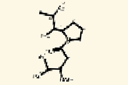 CCC(C)C(C(C)C)C(CC(=O)N1CCCC1C(CC)C(C)C(C)=O)OC